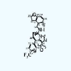 CP(C)(=O)c1ncn2c(NCc3c(F)ccc4c3CCO4)ncc(-c3ccc(C(F)(F)F)nc3)c12